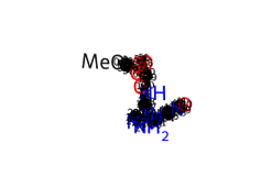 COc1ccc(COc2cc(CC(=O)NCc3ccc(-n4c(-c5cccnc5N)nc5ccc(-c6ccc(N7CCOCC7)cc6)nc54)cc3)ccc2C2OCCO2)cc1